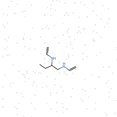 C=CNCC(CC)NC=C